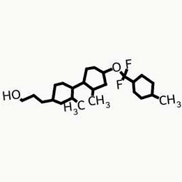 CC1CCC(C(F)(F)OC2CCC(C3CCC(CCCO)CC3C)C(C)C2)CC1